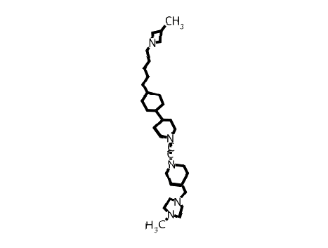 CC1CN(CCCCCC2CCC(C3CCN(CCN4CCC(CN5CCN(C)CC5)CC4)CC3)CC2)C1